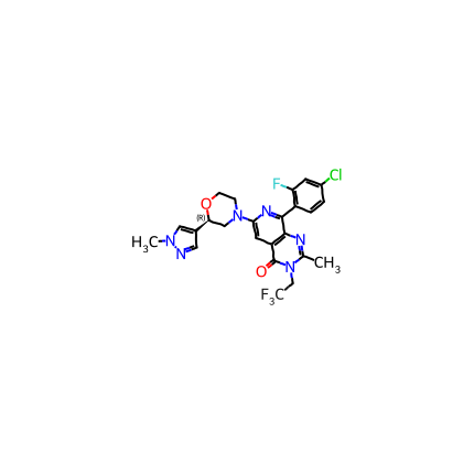 Cc1nc2c(-c3ccc(Cl)cc3F)nc(N3CCO[C@H](c4cnn(C)c4)C3)cc2c(=O)n1CC(F)(F)F